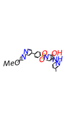 COC1CN(c2cc(-c3ccc(S(=O)(=O)N4CC[C@@H](Nc5ccc(C)cn5)[C@@H](O)C4)cc3)ccn2)C1